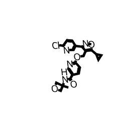 CC1(NC(=O)c2ccc(OCc3c(-c4ccc(Cl)nc4)noc3C3CC3)nc2)COC1